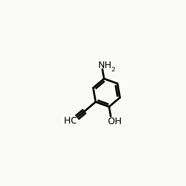 C#Cc1cc(N)ccc1O